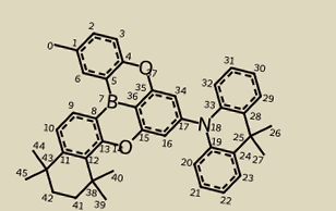 Cc1ccc2c(c1)B1c3ccc4c(c3Oc3cc(N5c6ccccc6C(C)(C)c6ccccc65)cc(c31)O2)C(C)(C)CCC4(C)C